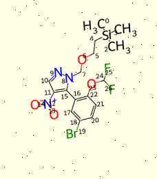 C[Si](C)(C)CCOCn1ncc([N+](=O)[O-])c1-c1cc(Br)ccc1OC(F)F